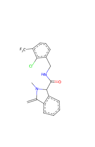 C=C1c2ccccc2C(C(=O)NCc2cccc(C(F)(F)F)c2Cl)N1C